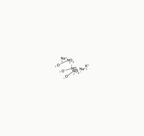 O=[N+]([O-])[O-].O=[N+]([O-])[O-].O=[N+]([O-])[O-].[K+].[Na+].[Na+]